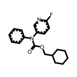 O=C(OCC1CCCCC1)N(c1ccccc1)c1ccc(F)nc1